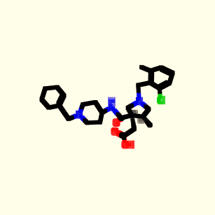 Cc1cccc(Cl)c1CN1C[C@@H](C)[C@](CC(=O)O)(C(=O)NC2CCN(CC3=CCCCC3)CC2)C1